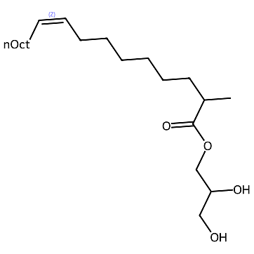 CCCCCCCC/C=C\CCCCCCC(C)C(=O)OCC(O)CO